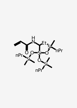 C=CC(=O)NC(CC)[Si](O[Si](C)(C)CCC)(O[Si](C)(C)CCC)O[Si](C)(C)CCC